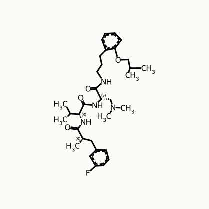 CC(C)COc1ccccc1CCCNC(=O)[C@H](CN(C)C)NC(=O)[C@H](NC(=O)[C@H](C)Cc1cccc(F)c1)C(C)C